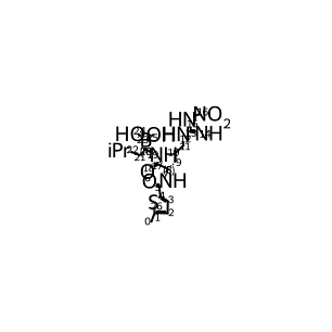 Cc1ccc(C(=O)N[C@@H](CCCNC(=N)N[N+](=O)[O-])C(=O)N[C@@H](CC(C)C)B(O)O)s1